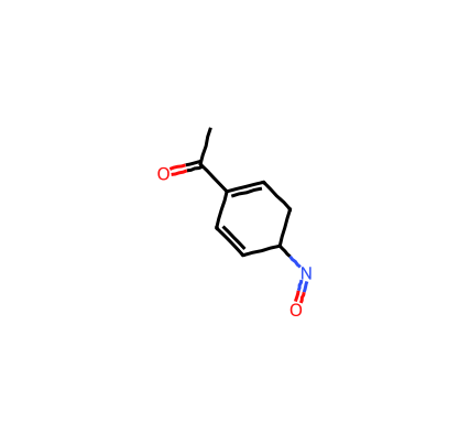 CC(=O)C1=CCC(N=O)C=C1